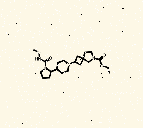 CCOC(=O)N1CCC2(CC(N3CCC(C4CCCN4C(=O)NOC)CC3)C2)C1